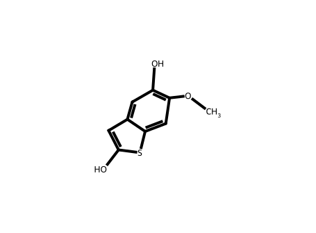 COc1cc2sc(O)cc2cc1O